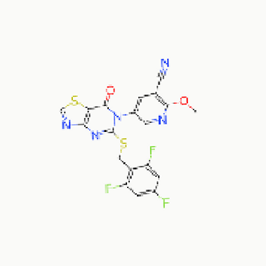 COc1ncc(-n2c(SCc3c(F)cc(F)cc3F)nc3ncsc3c2=O)cc1C#N